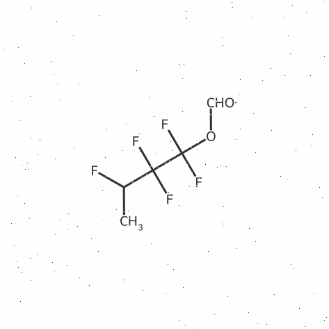 CC(F)C(F)(F)C(F)(F)O[C]=O